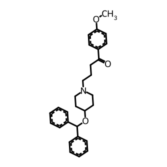 COc1ccc(C(=O)CCCN2CCC(OC(c3ccccc3)c3ccccc3)CC2)cc1